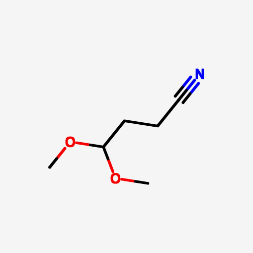 COC(CCC#N)OC